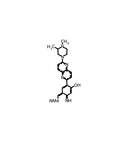 CN/C=C1/C=C(c2ccc3nc(N4CCN(C)C(C)C4)ccc3n2)C(O)=CC1=N